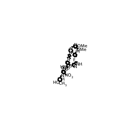 COc1cc(CN2CCN(C3CC4(C3)CN(c3ccc(C(=O)NS(=O)(=O)c5ccc(NCC6CCC(C)(O)CC6)c([N+](=O)[O-])c5)c(Oc5cnc6[nH]cc(F)c6c5)c3)C4)[C@H](c3ccccc3C(C)C)C2)cnc1OC